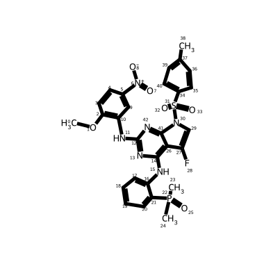 COc1ccc([N+](=O)[O-])cc1Nc1nc(Nc2ccccc2P(C)(C)=O)c2c(F)cn(S(=O)(=O)c3ccc(C)cc3)c2n1